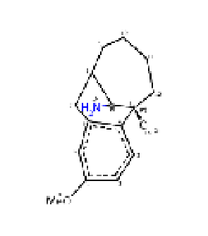 COc1ccc2c(c1)CC1CCCC[C@@]2(C)C1N